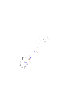 O=C(CNC(=O)OCc1cccc2c1Cc1ccccc1-2)NCC(=O)N(C(CS)C(=O)O)C(c1ccccc1)(c1ccccc1)c1ccccc1